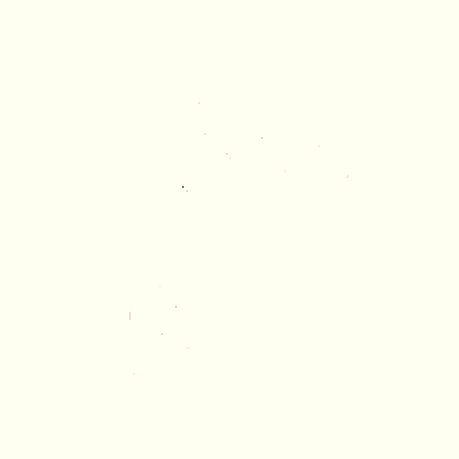 O=S1(=O)N(CCCBr)c2ccccc2N1c1cccc(OC(F)(F)F)c1